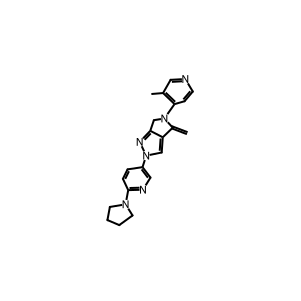 C=C1c2cn(-c3ccc(N4CCCC4)nc3)nc2CN1c1ccncc1C